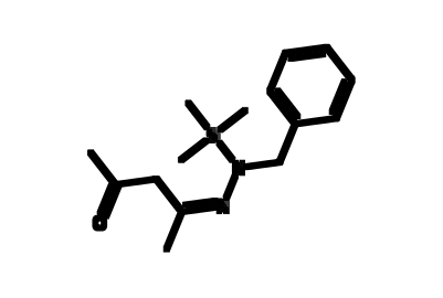 CC(=O)CC(C)=NN(Cc1ccccc1)[Si](C)(C)C